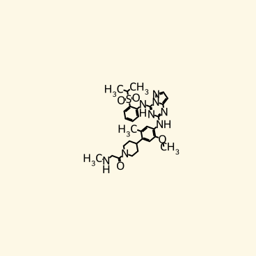 CNCC(=O)N1CCC(c2cc(OC)c(Nc3nc(Nc4ccccc4S(=O)(=O)C(C)C)n4nccc4n3)cc2C)CC1